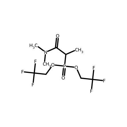 CC(C(=O)N(C)C)P(=O)(OCC(F)(F)F)OCC(F)(F)F